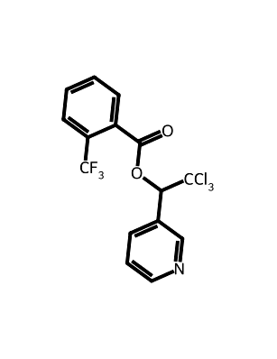 O=C(OC(c1cccnc1)C(Cl)(Cl)Cl)c1ccccc1C(F)(F)F